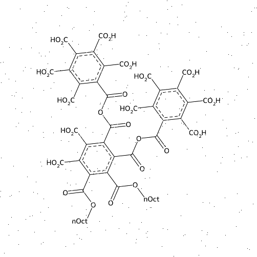 CCCCCCCCOC(=O)c1c(C(=O)O)c(C(=O)O)c(C(=O)OC(=O)c2c(C(=O)O)c(C(=O)O)c(C(=O)O)c(C(=O)O)c2C(=O)O)c(C(=O)OC(=O)c2c(C(=O)O)c(C(=O)O)c(C(=O)O)c(C(=O)O)c2C(=O)O)c1C(=O)OCCCCCCCC